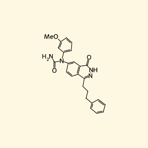 COc1cccc(N(C(N)=O)c2ccc3c(CCCc4ccccc4)n[nH]c(=O)c3c2)c1